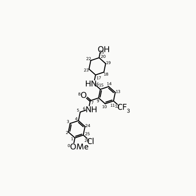 COc1ccc(CNC(=O)c2cc(C(F)(F)F)ccc2NC2CCC(O)CC2)cc1Cl